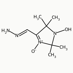 CC1(C)C(C=NN)=[N+]([O-])C(C)(C)N1O